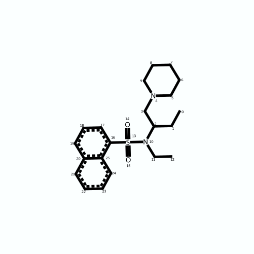 CCC(CN1CCCCC1)N(CC)S(=O)(=O)c1cccc2ccccc12